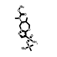 CC1COc2c(S(N)(=O)=N[Si](C)(C)C(C)(C)C)cnn2C[C@H]1N(C)C(=O)OC(C)(C)C